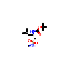 CNS(=O)(=O)C[C@H](CC(C)C)NC(=O)OC(C)(C)C